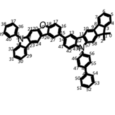 CC1(C)c2ccccc2-c2cc3c4cc(-c5ccc6oc7cc8c(cc7c6c5)c5ccccc5n8-c5ccccc5)ccc4n(-c4ccc(-c5ccccc5)cc4)c3cc21